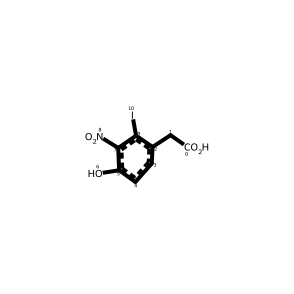 O=C(O)Cc1ccc(O)c([N+](=O)[O-])c1I